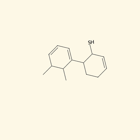 CC1C=CC=C(C2CCC=CC2S)C1C